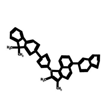 Cc1c(C)n(-c2ccc(-c3ccc4c(c3)C(C)(C)c3ccccc3-4)cc2)c2c1ccc1c(-c3ccc4ccccc4c3)cccc12